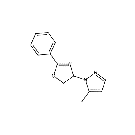 Cc1ccnn1C1COC(c2ccccc2)=N1